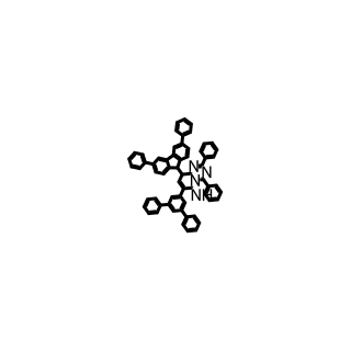 N=C/C(=C\C(c1nc(-c2ccccc2)nc(-c2ccccc2)n1)C1c2ccc(-c3ccccc3)cc2-c2cc(-c3ccccc3)ccc21)c1cc(-c2ccccc2)cc(-c2ccccc2)c1